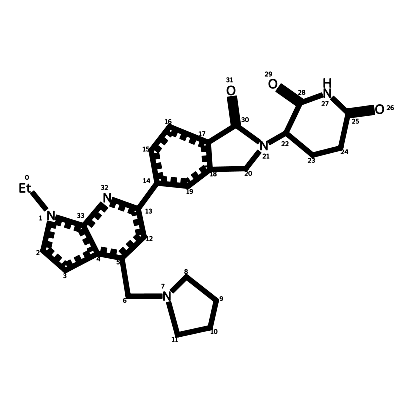 CCn1ccc2c(CN3CCCC3)cc(-c3ccc4c(c3)CN(C3CCC(=O)NC3=O)C4=O)nc21